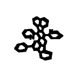 c1ccc(-c2cc3c4ccccc4c4cc5c(-c6ccccn6)c6c7cccc8cccc(c6c(-c6ccccn6)c5c(c2)c34)c87)cc1